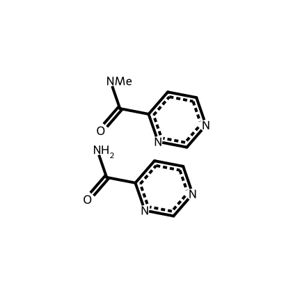 CNC(=O)c1ccncn1.NC(=O)c1ccncn1